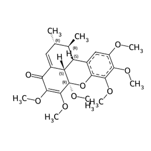 COC1=C(OC)[C@]2(OC)Oc3c(cc(OC)c(OC)c3OC)[C@H]3[C@H](C)[C@@H](C)C=C(C1=O)[C@H]32